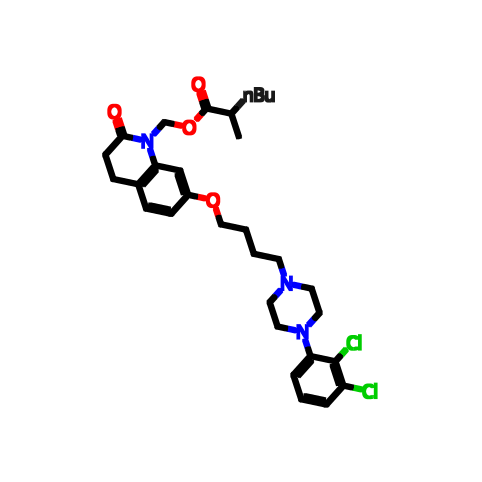 CCCCC(C)C(=O)OCN1C(=O)CCc2ccc(OCCCCN3CCN(c4cccc(Cl)c4Cl)CC3)cc21